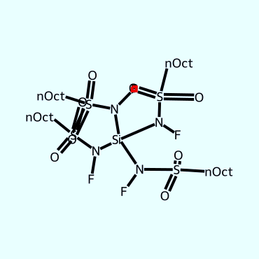 CCCCCCCCS(=O)(=O)N(F)[Si](N(F)S(=O)(=O)CCCCCCCC)(N(F)S(=O)(=O)CCCCCCCC)N(F)S(=O)(=O)CCCCCCCC